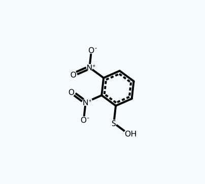 O=[N+]([O-])c1cccc(SO)c1[N+](=O)[O-]